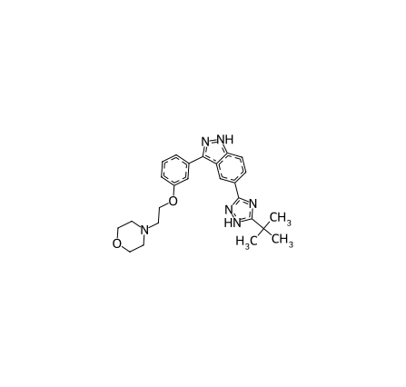 CC(C)(C)c1nc(-c2ccc3[nH]nc(-c4cccc(OCCN5CCOCC5)c4)c3c2)n[nH]1